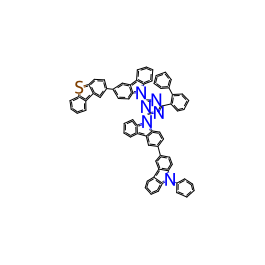 c1ccc(-c2ccccc2-c2nc(-n3c4ccccc4c4cc(-c5ccc6sc7ccccc7c6c5)ccc43)nc(-n3c4ccccc4c4cc(-c5ccc6c(c5)c5ccccc5n6-c5ccccc5)ccc43)n2)cc1